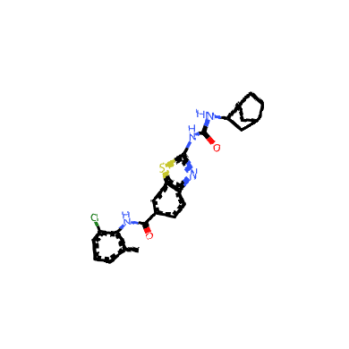 Cc1cccc(Cl)c1NC(=O)c1ccc2nc(NC(=O)NC3CC4CCC3C4)sc2c1